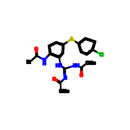 CCC(=O)Nc1ccc(Sc2ccc(Cl)cc2)cc1NC(=NC(=O)OC)NC(=O)OC